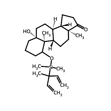 C=CC(C)(C=C)[Si](C)(C)OC1CCC[C@@]2(O)CC[C@H]3[C@@H]4CCC(=O)[C@@]4(C)CC[C@@H]3[C@@]12C